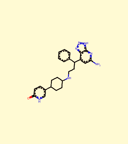 Nc1cc(C(CCNC2CCC(c3ccc(=O)[nH]c3)CC2)c2ccccc2)c2nn[nH]c2n1